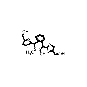 CSC(c1ccccc1C(SC)C1SCC(CO)S1)C1SCC(CO)S1